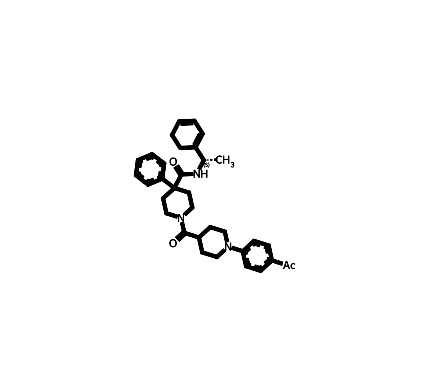 CC(=O)c1ccc(N2CCC(C(=O)N3CCC(C(=O)N[C@@H](C)C4=CC=CCC4)(c4ccccc4)CC3)CC2)cc1